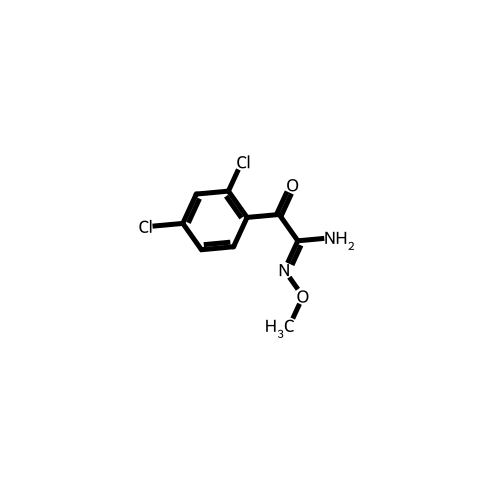 CON=C(N)C(=O)c1ccc(Cl)cc1Cl